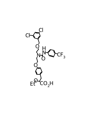 CCOC(Cc1ccc(OCCN(CCOCc2cc(Cl)cc(Cl)c2)C(=O)Nc2ccc(C(F)(F)F)cc2)cc1)C(=O)O